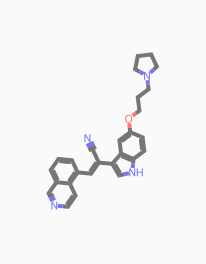 N#CC(=Cc1cccc2cnccc12)c1c[nH]c2ccc(OCCCN3CCCC3)cc12